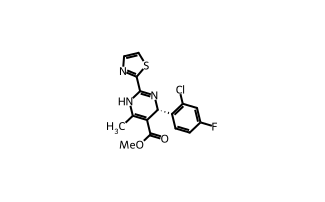 COC(=O)C1=C(C)NC(c2nccs2)=N[C@@H]1c1ccc(F)cc1Cl